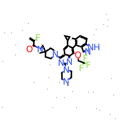 C=C(F)C(=O)N1CC2(CCN(c3nc(N4CCN(C)CC4)nc4c(OCC(F)(F)F)c(-c5c(C)ccc6[nH]ncc56)c(C5CC5)cc34)CC2)C1